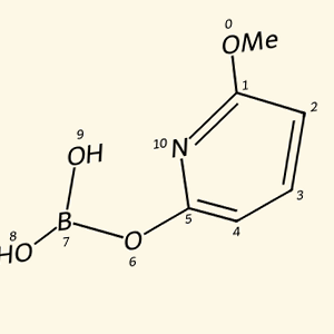 COc1cccc(OB(O)O)n1